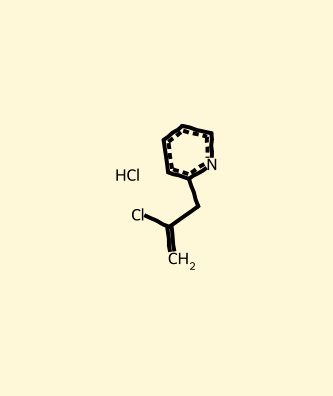 C=C(Cl)Cc1ccccn1.Cl